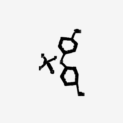 CC(C)(C)c1ccc([I+]c2ccc(C(C)(C)C)cc2)cc1.O=[As](F)(F)F